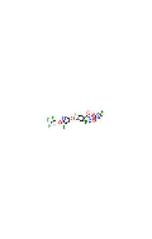 O=C(NS(=O)(=O)N1CC(F)(F)C1)c1cc(F)c(COc2cnc(OCC(F)(F)C(F)F)c(Cl)c2)cc1F